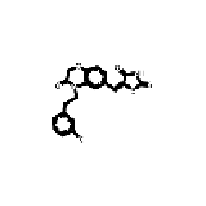 O=C1NC(=S)S/C1=C/c1ccc2c(c1)N(CCc1cccc(Cl)c1)C(=O)CO2